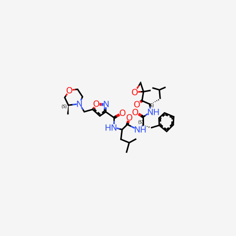 CC(C)CC(NC(=O)c1cc(CN2CCOC[C@@H]2C)on1)C(=O)N[C@@H](Cc1ccccc1)C(=O)N[C@@H](CC(C)C)C(=O)C1(C)CO1